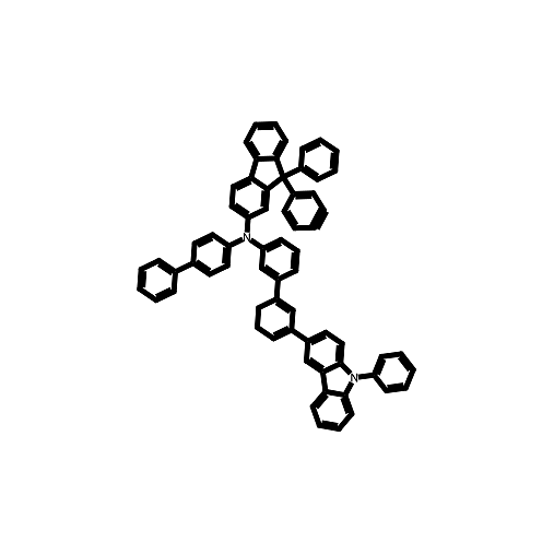 c1ccc(C2(c3ccccc3)c3ccccc3-c3ccc(N(c4ccc(-c5ccccc5)cc4)c4cccc(C5=CC(c6ccc7c(c6)c6ccccc6n7-c6ccccc6)=CCC5)c4)cc32)cc#1